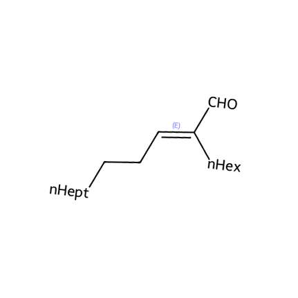 CCCCCCCCC/C=C(/C=O)CCCCCC